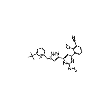 COc1c(C#N)cccc1-c1cc(-c2cn(Cc3cccc(C(C)(C)C)n3)nn2)nc(N)n1